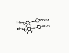 CCCCCCOc1ccc(C#Cc2ccc(CCCCC)cc2)c(F)c1F.CCCCCCOc1ccc(C#Cc2ccc(CCCCCC)cc2)c(F)c1F